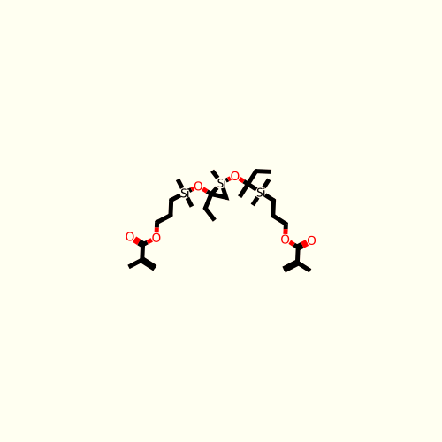 C=C(C)C(=O)OCCC[Si](C)(C)OC1(CC)C[Si]1(C)OC(C)(CC)[Si](C)(C)CCCOC(=O)C(=C)C